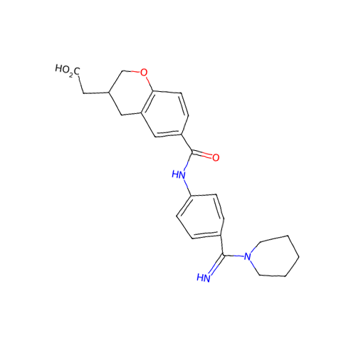 N=C(c1ccc(NC(=O)c2ccc3c(c2)CC(CC(=O)O)CO3)cc1)N1CCCCC1